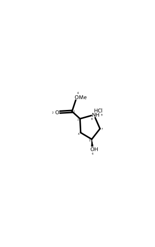 COC(=O)C1C[C@H](O)CN1.Cl